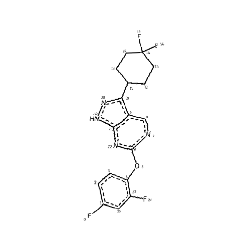 Fc1ccc(Oc2ncc3c(C4CCC(F)(F)CC4)n[nH]c3n2)c(F)c1